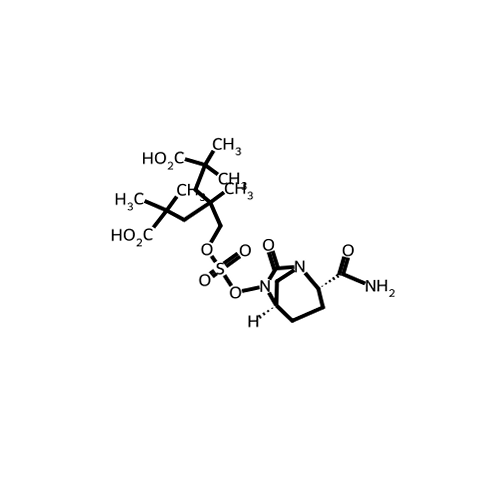 CC(COS(=O)(=O)ON1C(=O)N2C[C@H]1CC[C@H]2C(N)=O)(CC(C)(C)C(=O)O)CC(C)(C)C(=O)O